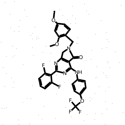 COc1ccc(CN2Cc3nc(-c4c(F)cccc4F)nc(Nc4ccc(OC(F)(F)F)cc4)c3C2=O)c(OC)c1